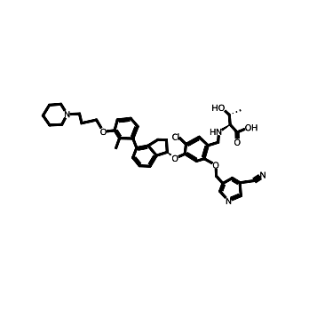 Cc1c(OCCCN2CCCCC2)cccc1-c1cccc2c1CC[C@@H]2Oc1cc(OCc2cncc(C#N)c2)c(CN[C@H](C(=O)O)[C@@H](C)O)cc1Cl